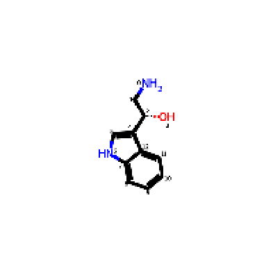 NC[C@H](O)c1c[nH]c2ccccc12